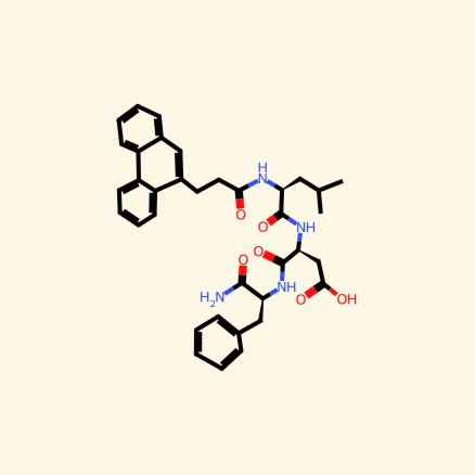 CC(C)C[C@H](NC(=O)CCc1cc2ccccc2c2ccccc12)C(=O)N[C@@H](CC(=O)O)C(=O)N[C@@H](Cc1ccccc1)C(N)=O